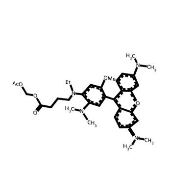 CCN(CCCC(=O)OCOC(C)=O)c1cc(OC)c(-c2c3ccc(=[N+](C)C)cc-3oc3cc(N(C)C)ccc23)cc1N(C)C